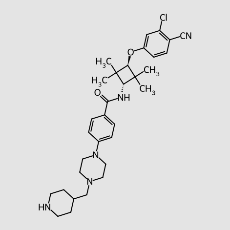 CC1(C)[C@H](NC(=O)c2ccc(N3CCN(CC4CCNCC4)CC3)cc2)C(C)(C)[C@H]1Oc1ccc(C#N)c(Cl)c1